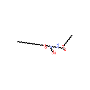 CCCCCCCCCCCCCCCCCCCCCOC(=O)CCCN(CCCCNCCCC(=C=O)OCCCCCCCCCCC)CCCC(=O)O